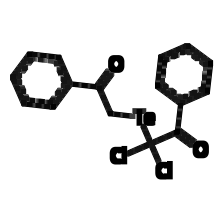 O=C(C[Te]C(Cl)(Cl)C(=O)c1ccccc1)c1ccccc1